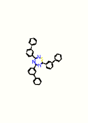 c1ccc(-c2cccc(C3=NSC(c4cccc(-c5ccccc5)c4)=NC(c4cccc(-c5ccccc5)c4)=N3)c2)cc1